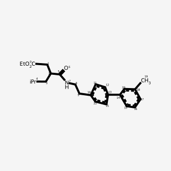 CCOC(=O)CC(CC(C)C)C(=O)NCCc1ccc(-c2cccc(C)c2)cc1